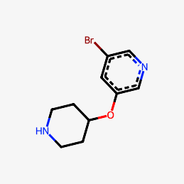 Brc1cncc(OC2CCNCC2)c1